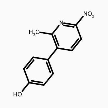 Cc1nc([N+](=O)[O-])ccc1-c1ccc(O)cc1